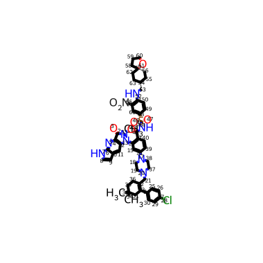 Cn1c(=O)c2nc3[nH]ccc3cc2n1-c1cc(N2CCN(CC3=C(c4ccc(Cl)cc4)CC(C)(C)CC3)CC2)ccc1C(=O)NS(=O)(=O)c1ccc(NC[C@H]2CC[C@@]3(CCCO3)CC2)c([N+](=O)[O-])c1